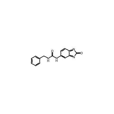 O=C1N=c2ccc(NC(=O)NCc3ccccc3)cc2=N1